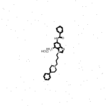 Cc1cc(NC(=O)c2ccccc2)cc2ncn(CCCCN3CC=C(c4ccccc4)CC3)c12.Cl.Cl